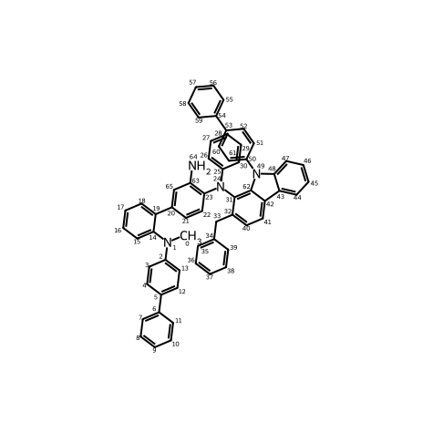 CN(c1ccc(-c2ccccc2)cc1)c1ccccc1-c1ccc(N(c2ccccc2)c2c(Cc3ccccc3)ccc3c4ccccc4n(-c4ccc(-c5ccccc5)cc4)c23)c(N)c1